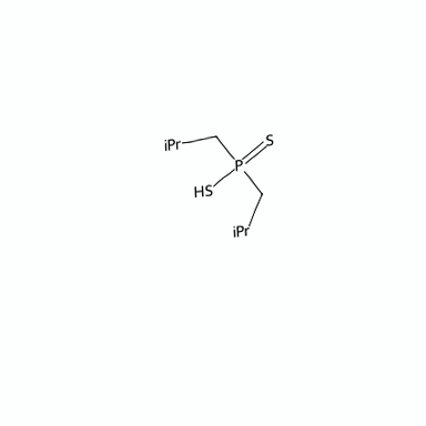 CC(C)CP(=S)(S)CC(C)C